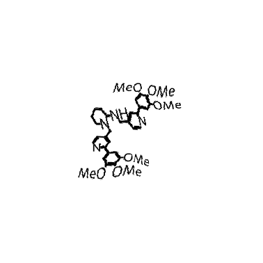 COc1cc(-c2cc(CNC3CCCCN3Cc3ccnc(-c4cc(OC)c(OC)c(OC)c4)c3)ccn2)cc(OC)c1OC